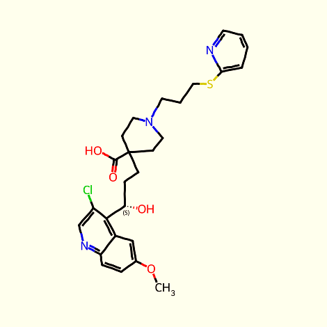 COc1ccc2ncc(Cl)c([C@@H](O)CCC3(C(=O)O)CCN(CCCSc4ccccn4)CC3)c2c1